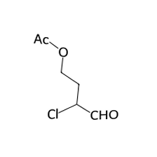 CC(=O)OCCC(Cl)C=O